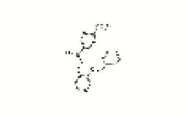 CCOC(=O)c1ccc(N(CC)CCc2ccccc2OCc2ccccc2)cc1